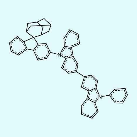 c1ccc(-n2c3ccccc3c3cc(-c4ccc5c(c4)c4ccccc4n5-c4ccc5c(c4)C4(c6ccccc6-5)C5CC6CC(C5)CC4C6)ccc32)cc1